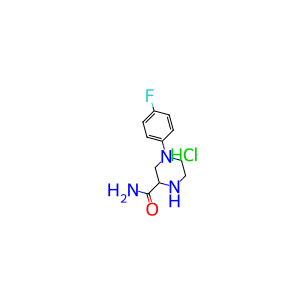 Cl.NC(=O)C1CN(c2ccc(F)cc2)CCN1